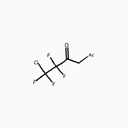 CC(=O)CC(=O)C(F)(F)C(F)(F)Cl